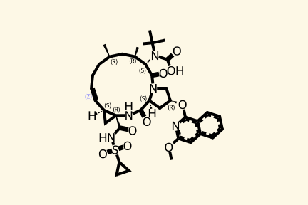 COc1cc2ccccc2c(O[C@@H]2C[C@H]3C(=O)N[C@]4(C(=O)NS(=O)(=O)C5CC5)C[C@H]4/C=C\CC[C@@H](C)C[C@@H](C)[C@H](N(C(=O)O)C(C)(C)C)C(=O)N3C2)n1